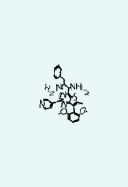 COc1cccc(OC)c1-c1c(C)sc2c(C(N)C(N)Cc3ccccc3)nc(-c3ccncc3)nc12